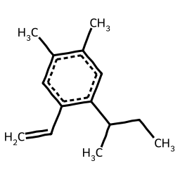 C=Cc1cc(C)c(C)cc1C(C)CC